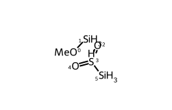 CO[SiH3].O=[SH](=O)[SiH3]